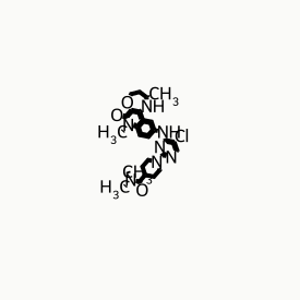 C[C@H]1CCOc2c(c3cc(Nc4nc(N5CCC(C(=O)N(C)C)CC5)ncc4Cl)ccc3n(C)c2=O)N1